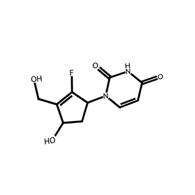 O=c1ccn(C2CC(O)C(CO)=C2F)c(=O)[nH]1